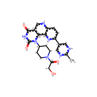 Cc1ncc(-c2ccc3ncc4c(=O)[nH]c(=O)n(C5CCN(C(=O)CO)CC5)c4c3n2)cn1